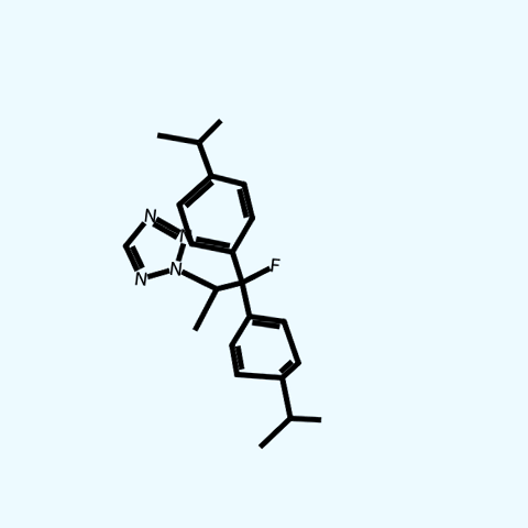 CC(C)c1ccc(C(F)(c2ccc(C(C)C)cc2)C(C)n2ncnn2)cc1